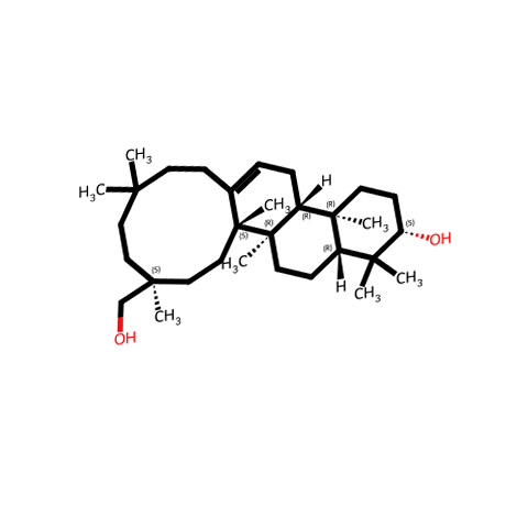 CC1(C)CCC2=CC[C@@H]3[C@@]4(C)CC[C@H](O)C(C)(C)[C@@H]4CC[C@@]3(C)[C@]2(C)CC[C@@](C)(CO)CC1